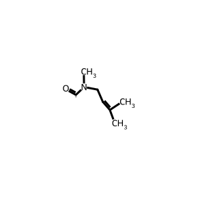 CC(C)=CCN(C)[C]=O